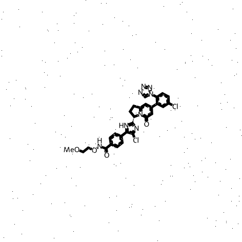 COCCONC(=O)c1ccc(-c2[nH]c([C@@H]3CCc4cc(-c5cc(Cl)ccc5-n5cnnn5)cc(=O)n43)nc2Cl)cc1